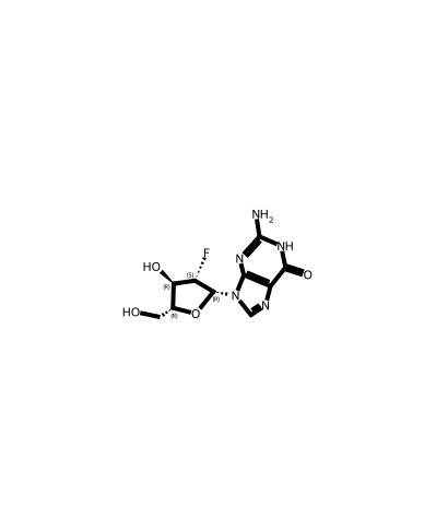 Nc1nc2c(ncn2[C@@H]2O[C@H](CO)[C@@H](O)[C@@H]2F)c(=O)[nH]1